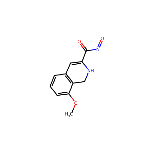 COc1cccc2c1CNC(C(=O)N=O)=C2